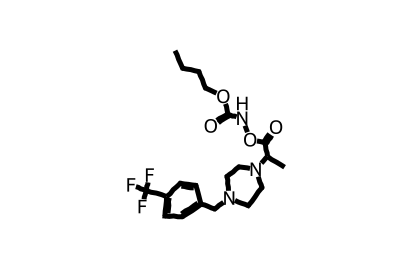 CCCCOC(=O)NOC(=O)C(C)N1CCN(Cc2ccc(C(F)(F)F)cc2)CC1